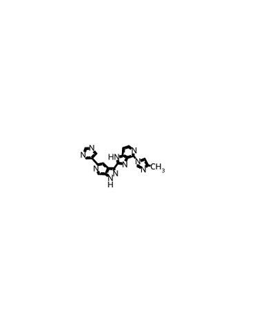 Cc1cn(-c2nccc3[nH]c(-c4n[nH]c5cnc(-c6cncnc6)cc45)nc23)cn1